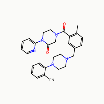 Cc1ccc(CN2CCN(c3ccccc3C#N)CC2)cc1C(=O)N1CCN(c2ccccn2)C(=O)C1